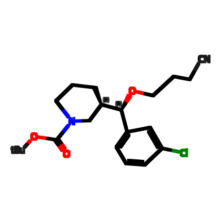 CC(C)(C)OC(=O)N1CCC[C@@H]([C@@H](OCCCC#N)c2cccc(Cl)c2)C1